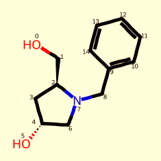 OC[C@@H]1C[C@@H](O)CN1Cc1ccccc1